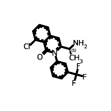 C[C@H](N)c1cc2cccc(Cl)c2c(=O)n1-c1cccc(C(F)(F)F)c1